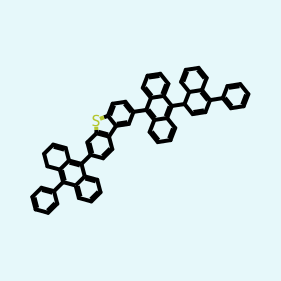 C1=CC2=C(c3ccccc3)C=CC(c3c4ccccc4c(-c4ccc5sc6cc(-c7c8c(c(-c9ccccc9)c9ccccc79)CCC=C8)ccc6c5c4)c4ccccc34)C2C=C1